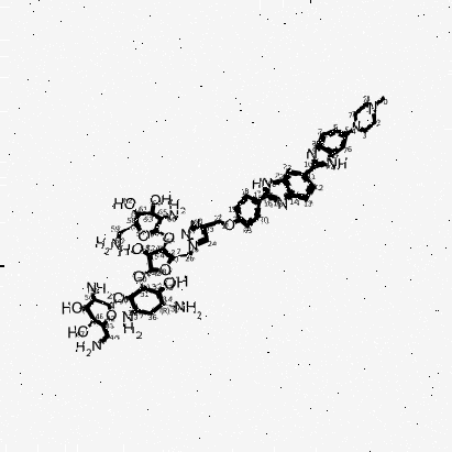 CN1CCN(c2ccc3nc(-c4ccc5nc(-c6ccc(OCc7cn(C[C@H]8O[C@@H](O[C@@H]9C(O)[C@H](N)CC(N)[C@H]9O[C@@H]9OC(CN)[C@@H](O)[C@H](O)C9N)C(O)[C@H]8O[C@H]8O[C@@H](CN)[C@@H](O)C(O)C8N)nn7)cc6)[nH]c5c4)[nH]c3c2)CC1